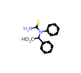 NC(=S)N(c1ccccc1)C(C(=O)O)c1ccccc1